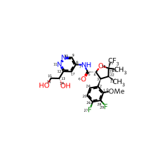 COc1c([C@H]2[C@H](C(=O)Nc3cnnc([C@H](O)CO)c3)O[C@@](C)(C(F)(F)F)[C@H]2C)ccc(F)c1F